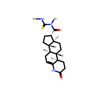 CC(C)NC(=S)N(C(=O)[C@H]1CC[C@H]2[C@@H]3CC=C4NC(=O)CC[C@]4(C)[C@H]3CC[C@]12C)C(C)C